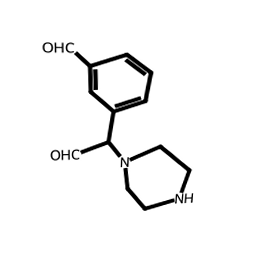 O=Cc1cccc(C(C=O)N2CCNCC2)c1